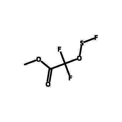 COC(=O)C(F)(F)OSF